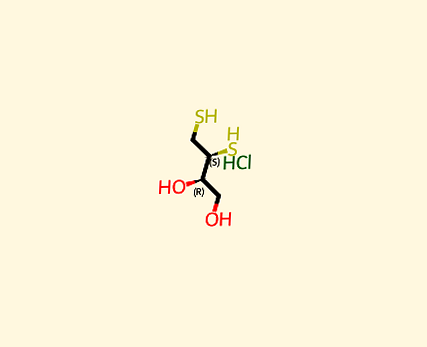 Cl.OC[C@@H](O)[C@H](S)CS